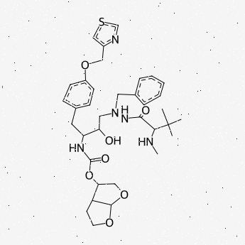 CNC(C(=O)NN(Cc1ccccc1)CC(O)C(Cc1ccc(OCc2cscn2)cc1)NC(=O)OC1COC2OCCC12)C(C)(C)C